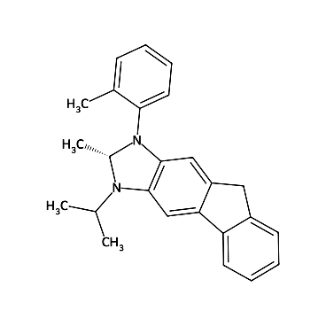 Cc1ccccc1N1c2cc3c(cc2N(C(C)C)[C@@H]1C)-c1ccccc1C3